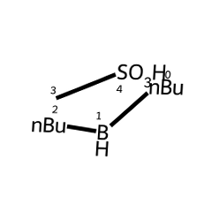 CCCCBCCCC.CS(=O)(=O)O